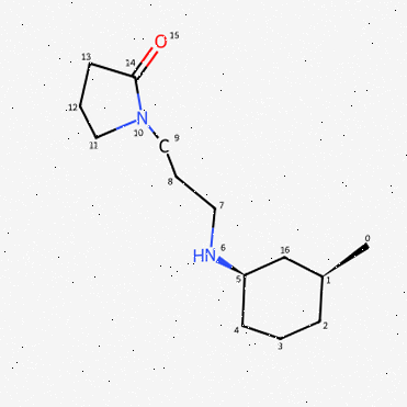 C[C@H]1CCC[C@@H](NCCCN2CCCC2=O)C1